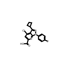 O=C(O)c1cc(Cl)c2c(C3CCC3)nn(-c3ccc(F)cc3)c2n1